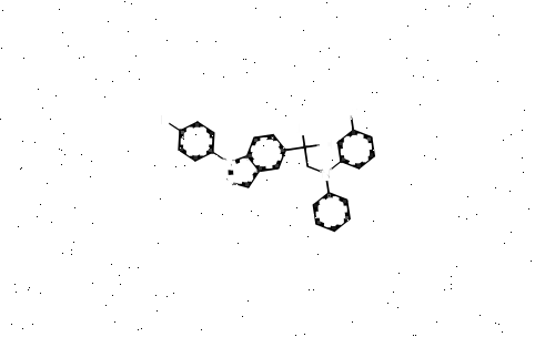 OC(CN(c1ccccc1)c1cccc(Br)c1)(c1ccc2c(cnn2-c2ccc(F)cc2)c1)C(F)(F)F